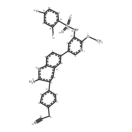 COc1ncc(-c2ccc3nc(N)c(-c4ccc(CC#N)cc4)cc3c2)cc1NS(=O)(=O)c1ccc(F)cc1F